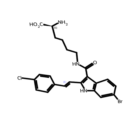 N[C@@H](CCCCNC(=O)c1c(/C=C/c2ccc(Cl)cc2)[nH]c2cc(Br)ccc12)C(=O)O